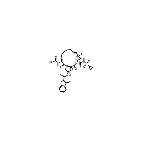 O=C(O)N[C@H]1CCCCC/C=C/[C@@H]2C[C@@]2(C(=O)NS(=O)(=O)C2CC2)NC(=O)[C@@H]2C[C@@H](NC(=O)c3sc4ccccc4c3Cl)CN2C1=O